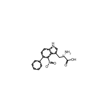 N[C@@H](Cc1c[nH]c2ccc(-c3ccccc3)c([N+](=O)[O-])c12)C(=O)O